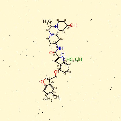 Cc1cc2occ(COc3cccc4[nH]c(C(=O)NC5CCN(C[C@H](C)N6CCC(O)CC6)CC5)cc34)c2cc1C.Cl.Cl